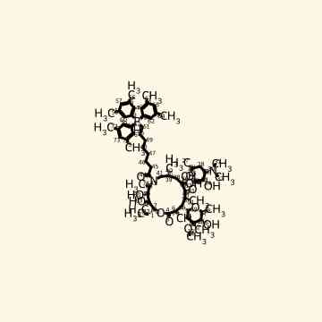 CC[C@H]1OC(=O)[C@H](C)[C@@H](C2C[C@@](C)(OC)[C@@H](O)[C@H](C)O2)[C@H](C)[C@@H](O[C@@H]2O[C@H](C)C[C@H](N(C)C)[C@H]2O)[C@](C)(O)C[C@@H](C)CN(C(=O)CCCCCCC[PH](c2cc(C)cc(C)c2)(c2cc(C)cc(C)c2)c2cc(C)cc(C)c2)[C@H](C)[C@@H](O)[C@]1(C)O